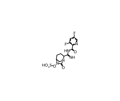 N=C(NC(=O)c1ncc(F)cc1F)C1CCC2CN1C(=O)N2OS(=O)(=O)O